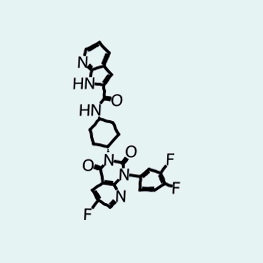 O=C(N[C@H]1CC[C@@H](n2c(=O)c3cc(F)cnc3n(-c3ccc(F)c(F)c3)c2=O)CC1)c1cc2cccnc2[nH]1